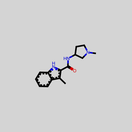 Cc1c(C(=O)NC2CCN(C)C2)[nH]c2ccccc12